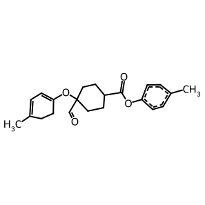 CC1=CC=C(OC2(C=O)CCC(C(=O)Oc3ccc(C)cc3)CC2)CC1